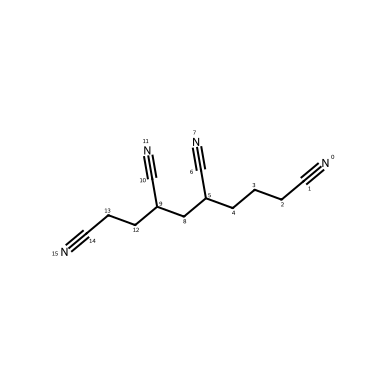 N#CCCCC(C#N)CC(C#N)CCC#N